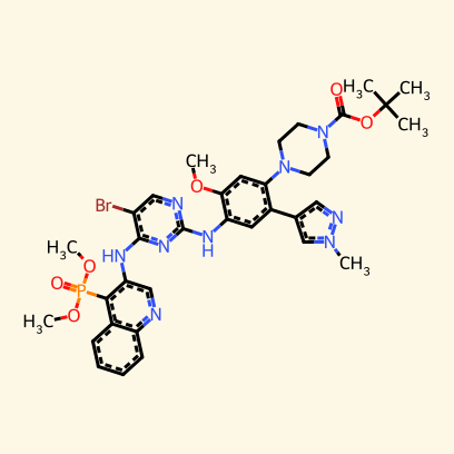 COc1cc(N2CCN(C(=O)OC(C)(C)C)CC2)c(-c2cnn(C)c2)cc1Nc1ncc(Br)c(Nc2cnc3ccccc3c2P(=O)(OC)OC)n1